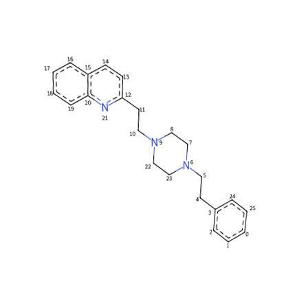 c1ccc(CCN2CCN(CCc3ccc4ccccc4n3)CC2)cc1